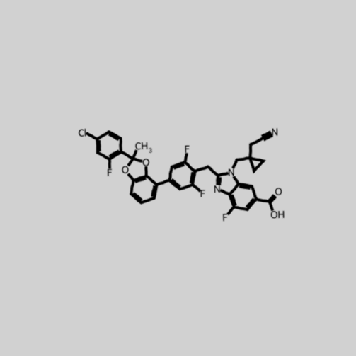 CC1(c2ccc(Cl)cc2F)Oc2cccc(-c3cc(F)c(Cc4nc5c(F)cc(C(=O)O)cc5n4CC4(CC#N)CC4)c(F)c3)c2O1